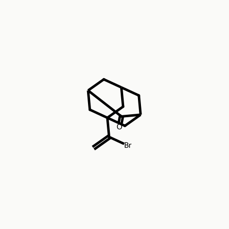 C=C(Br)C12CC3CC(C1)C(=O)C(C3)C2